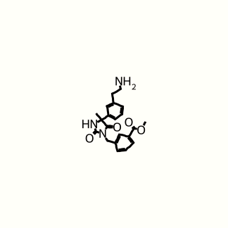 COC(=O)c1cccc(CN2C(=O)NC(C)(c3cccc(CCN)c3)C2=O)c1